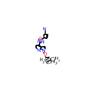 C[Si](C)(C)CCOCn1ccc2c(-c3noc(-c4cccc(C#N)c4)n3)ccnc21